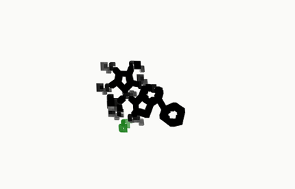 CC1=Cc2c(-c3ccccc3)cccc2[CH]1[Zr+2]([CH]1C(C)=C(C)C(C)=C1C)[SiH](C)C.[Cl-].[Cl-]